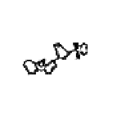 c1cc(-c2nc3ccccc3o2)cc(-c2cccc3c2oc2ccccc23)c1